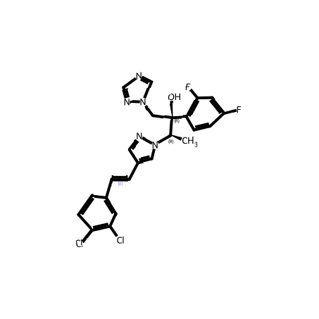 C[C@@H](n1cc(/C=C/c2ccc(Cl)c(Cl)c2)cn1)[C@](O)(Cn1cncn1)c1ccc(F)cc1F